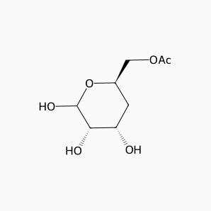 CC(=O)OC[C@H]1C[C@H](O)[C@H](O)C(O)O1